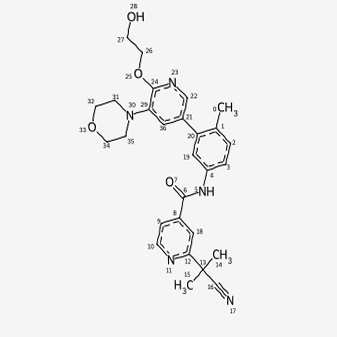 Cc1ccc(NC(=O)c2ccnc(C(C)(C)C#N)c2)cc1-c1cnc(OCCO)c(N2CCOCC2)c1